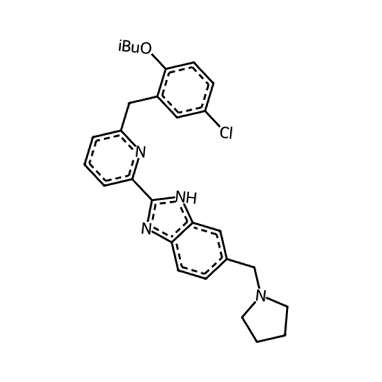 CC(C)COc1ccc(Cl)cc1Cc1cccc(-c2nc3ccc(CN4CCCC4)cc3[nH]2)n1